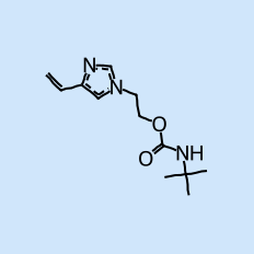 C=Cc1cn(CCOC(=O)NC(C)(C)C)cn1